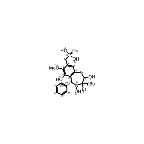 CCCC[C@]1(CC)C(O)Sc2cc(CP(=O)(O)O)c(OC)c(O)c2[C@@H](c2ccccc2)N1O